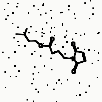 CC(C)CCOC(=O)CCCN1C(=O)C=CC1=O